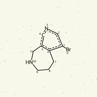 Brc1cncc2c1CCCNC2